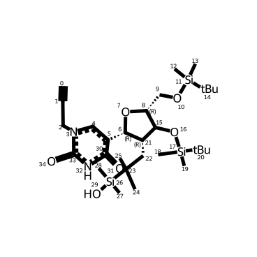 C#CCn1cc([C@@H]2O[C@H](CO[Si](C)(C)C(C)(C)C)C(O[Si](C)(C)C(C)(C)C)[C@@H]2CC(C)(C)[Si](C)(C)O)c(=O)[nH]c1=O